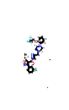 Cc1onc(-c2cccc(F)c2)c1C(=O)NCCCN1CCN(c2ccccc2OCC(F)(F)F)CC1